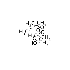 C=C(C(=O)OC(=O)C(C)=C(C)CCCC)C(C)=C(C)C(=O)O